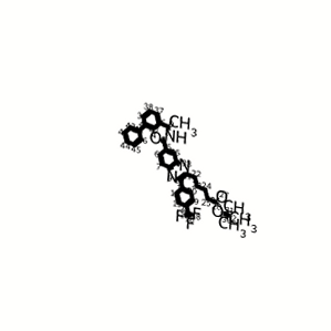 C[C@@H](NC(=O)c1ccc2nc(-c3ccc(C(F)(F)F)cc3)c(CCCCC(=O)OC(C)(C)C)nc2c1)c1cccc(-c2ccccc2)c1